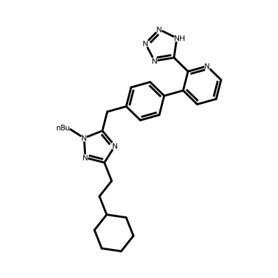 CCCCn1nc(CCC2CCCCC2)nc1Cc1ccc(-c2cccnc2-c2nnn[nH]2)cc1